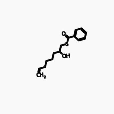 C=CCCCCC(O)CSC(=O)c1ccccc1